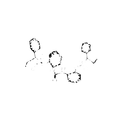 CCC(c1ccccc1)S(=O)(=O)Oc1ccccc1NC(=O)Nc1ccccc1OS(=O)(=O)C(CC)c1ccccc1